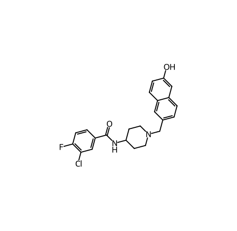 O=C(NC1CCN(Cc2ccc3cc(O)ccc3c2)CC1)c1ccc(F)c(Cl)c1